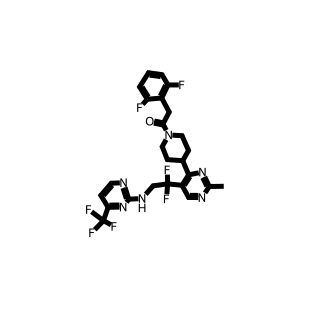 Cc1ncc(C(F)(F)CNc2nccc(C(F)(F)F)n2)c(C2CCN(C(=O)Cc3c(F)cccc3F)CC2)n1